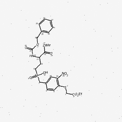 CCOC(=O)CSc1ccc(CP(=O)(O)CCC(NC(=O)OCc2ccccc2)C(=O)OC)cc1[N+](=O)[O-]